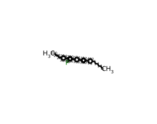 CCCCCCCC1CCC(c2ccc(C3CCC(c4ccc(C5CCC(CCCCC)CC5)c(F)c4)CC3)cc2)CC1